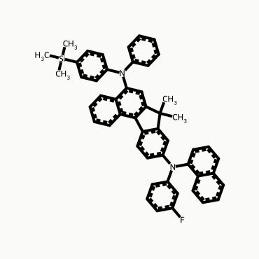 CC1(C)c2cc(N(c3cccc(F)c3)c3cccc4ccccc34)ccc2-c2c1cc(N(c1ccccc1)c1ccc([Si](C)(C)C)cc1)c1ccccc21